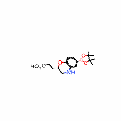 CC1(C)OB(c2ccc3c(c2)NC[C@H](CCC(=O)O)O3)OC1(C)C